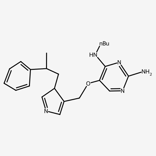 CCCCNc1nc(N)ncc1OCC1=CN=CC1CC(C)c1ccccc1